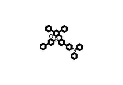 C1=CC(c2ccc3c(c2)Oc2c(-c4ccccc4)cc(-c4ccccc4)c4c2B3c2ccc(-c3ccc(N(c5ccccc5)c5ccccc5)cc3)cc2C4)=CCC1